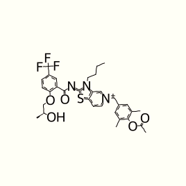 CCCCn1/c(=N/C(=O)c2cc(C(F)(F)F)ccc2OC[C@H](C)O)sc2cc[n+](Cc3cc(C)c(OC(C)=O)c(C)c3)cc21